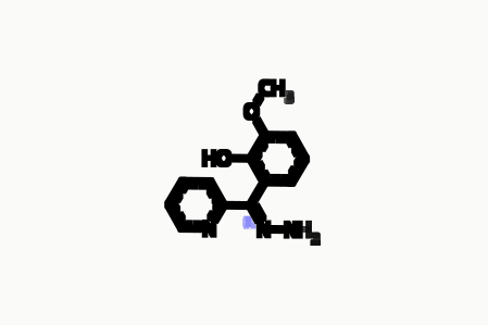 COc1cccc(/C(=N\N)c2ccccn2)c1O